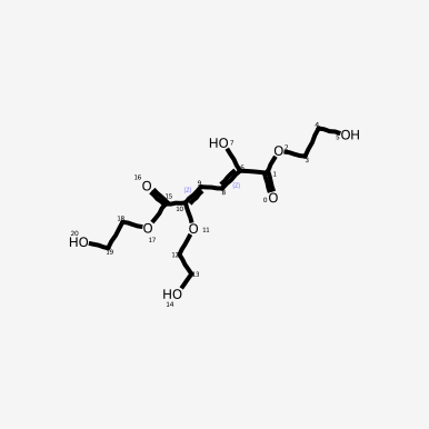 O=C(OCCO)/C(O)=C/C=C(\OCCO)C(=O)OCCO